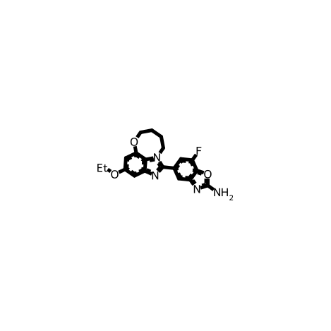 CCOc1cc2c3c(c1)nc(-c1cc(F)c4oc(N)nc4c1)n3CCCCO2